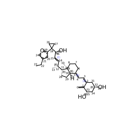 C=C1/C(=C\C=C2/CCC[C@]3(C)[C@@H]([C@H](C)/C=C/[C@H](O)C4(c5cc(CC)co5)CC4)CC[C@@H]23)C[C@@H](O)C[C@@H]1O